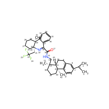 CC(C)c1ccc2c(c1)CC[C@H]1[C@](C)(CNC(=O)C3=N[C@@]4(CC(F)(F)F)CCCC[C@@]4(C)c4ccccc43)CCC[C@]21C